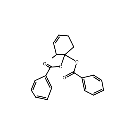 CC1C=CCCC1(OC(=O)c1ccccc1)OC(=O)c1ccccc1